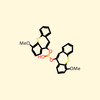 COc1cccc2c1Sc1ccccc1C=C2OP(O)OC1=Cc2ccccc2Sc2c(OC)cccc21